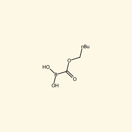 CCCCCOC(=O)B(O)O